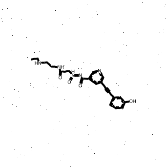 CCNCCNC(=O)C/[SH](=O)=N/C(=O)c1cncc(C#Cc2cccc(O)c2)c1